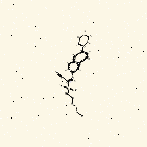 CCOCCNS(=O)(=O)/C(C#N)=C/c1ccc2cc(N3CCOCC3)ccc2c1